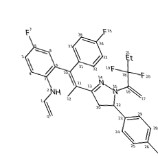 C=CNc1ccc(F)cc1/C(=C(\C)C1=NN(C(=C)C(F)(F)CC)C(c2ccc(C)cc2)C1)c1ccc(F)cc1